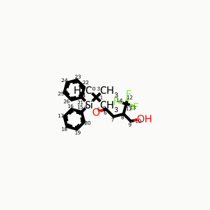 CC(C)(C)[Si](OCCC(CO)C(F)(F)F)(c1ccccc1)c1ccccc1